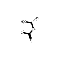 CC(C)[C@@H](C)OC(=O)Cl